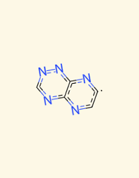 [c]1cnc2ncnnc2n1